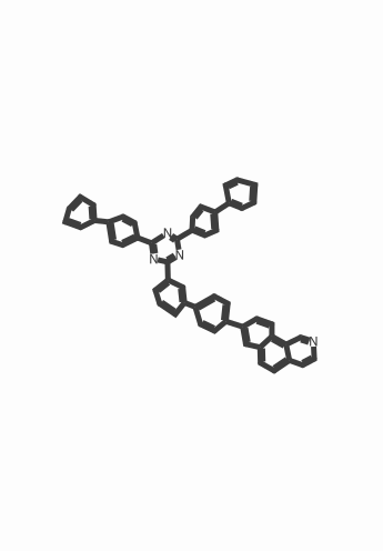 c1ccc(-c2ccc(-c3nc(-c4ccc(-c5ccccc5)cc4)nc(-c4cccc(-c5ccc(-c6ccc7c(ccc8ccncc87)c6)cc5)c4)n3)cc2)cc1